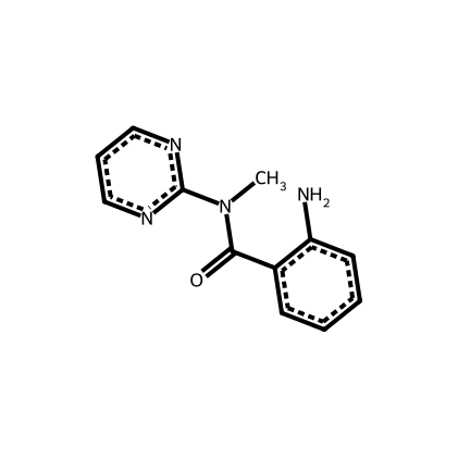 CN(C(=O)c1ccccc1N)c1ncccn1